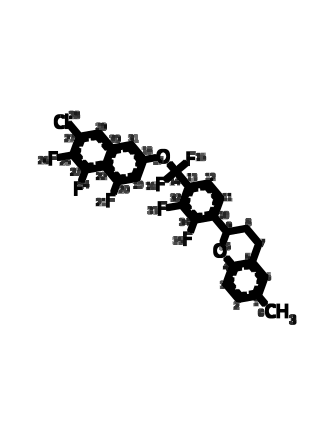 Cc1ccc2c(c1)CCC(c1ccc(C(F)(F)Oc3cc(F)c4c(F)c(F)c(Cl)cc4c3)c(F)c1F)O2